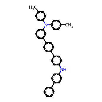 Cc1ccc(N(c2ccc(C)cc2)c2cccc(-c3ccc(-c4ccc(Nc5ccc(-c6ccccc6)cc5)cc4)cc3)c2)cc1